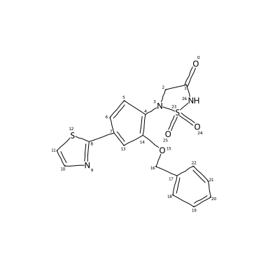 O=C1CN(c2ccc(-c3nccs3)cc2OCc2ccccc2)S(=O)(=O)N1